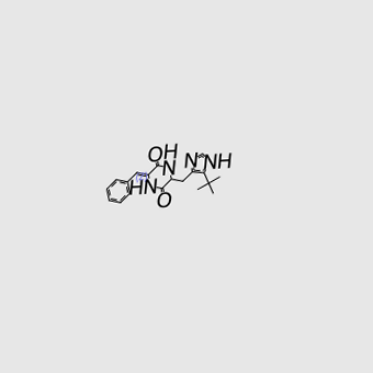 CC(C)(C)c1[nH]cnc1CC1NC(=O)/C(=C/c2ccccc2)NC1=O